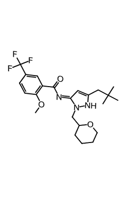 COc1ccc(C(F)(F)F)cc1C(=O)N=c1cc(CC(C)(C)C)[nH]n1CC1CCCCO1